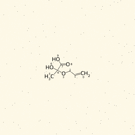 C=CCOC(C)(O)C(=O)O